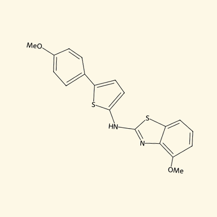 COc1ccc(-c2ccc(Nc3nc4c(OC)cccc4s3)s2)cc1